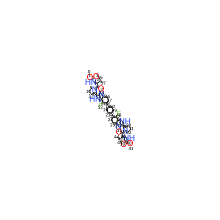 COC(=O)NC(C(=O)N1CCC[C@H]1c1nc2ccc(-c3ccc(-c4ccc5nc([C@@H]6CCCN6C(=O)[C@@H](NC(=O)OC)C(C)C)[nH]c5c4F)cc3)c(F)c2[nH]1)C(C)C